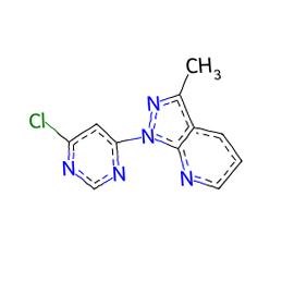 Cc1nn(-c2cc(Cl)ncn2)c2ncccc12